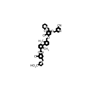 Cc1c(COc2cc(OCc3cncc(C#N)c3)c(CN3CCCCC3C(=O)O)cc2Cl)cccc1-c1cccc(-c2nc3cc(CN4CCC(C(=O)O)C4)cc(Cl)c3o2)c1C